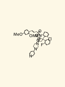 COc1ccc(C=CCS(=O)(=O)N2C(=O)C(CC(=O)N3CCN(c4ccncc4)CC3)(c3ccccc3F)c3c(Cl)cccc32)c(OC)c1